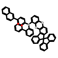 c1ccc(-c2ccccc2N(c2ccc(-c3ccc4ccccc4c3)cc2)c2cccc3c2Oc2c(ccc4c2-c2ccccc2C42c4ccccc4-c4ccccc42)O3)cc1